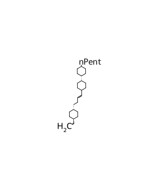 C=C[C@H]1CC[C@H](CC/C=C/C2CCC([C@H]3CC[C@H](CCCCC)CC3)CC2)CC1